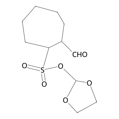 O=CC1CCCCCC1S(=O)(=O)OC1OCCO1